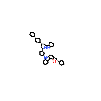 C1=C(c2ccc(-c3ccccc3)cc2)C=C(c2ccccc2)NC1c1cccc(-n2c3ccccc3c3c4oc(-c5ccccc5)cc4ccc32)c1